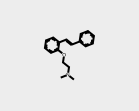 CN(C)CCOc1ccccc1C=Cc1ccccc1